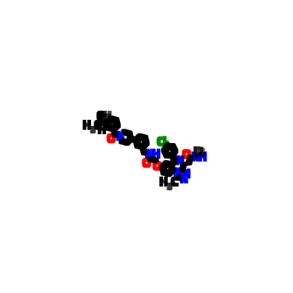 CCNC(=O)C[C@@H]1N=C(c2ccc(Cl)cc2)c2cc(OCC(=O)NCc3cccc(C4CCN(C(=O)c5cccc([SiH](C)C)c5)CC4)c3)ccc2-n2c(C)nnc21